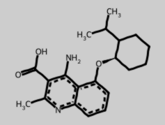 Cc1nc2cccc(O[C@@H]3CCCCC3C(C)C)c2c(N)c1C(=O)O